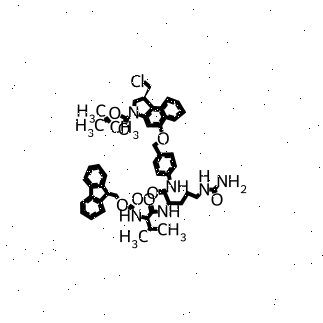 CC(C)C(NC(=O)OCC1c2ccccc2-c2ccccc21)C(=O)NC(CCCNC(N)=O)C(=O)Nc1ccc(COc2cc3c(c4ccccc24)[C@H](CCl)CN3C(=O)OC(C)(C)C)cc1